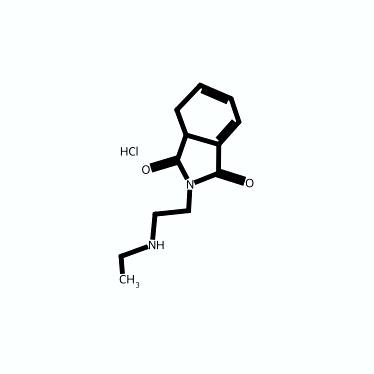 CCNCCN1C(=O)C2=CC=CCC2C1=O.Cl